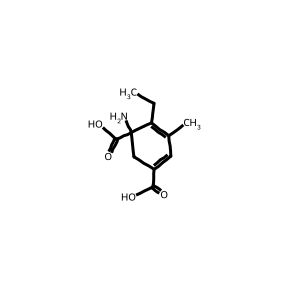 CCC1=C(C)C=C(C(=O)O)CC1(N)C(=O)O